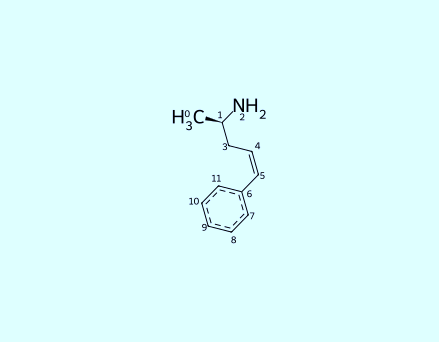 C[C@@H](N)C/C=C\c1ccccc1